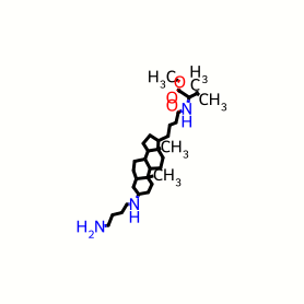 COC(=O)C(NC(=O)CCCC1CCC2C3CCC4CC(NCCCCN)CCC4(C)C3CCC12C)C(C)C